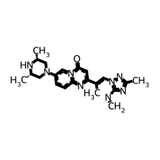 C=Nc1nc(C)nn1/C=C(\C)c1cc(=O)n2cc(N3C[C@H](C)N[C@@H](C)C3)ccc2n1